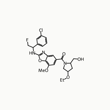 CCOC1CC(CO)N(C(=O)c2cc(OC)c3oc(NC(CF)c4cccc(Cl)c4)nc3c2)C1